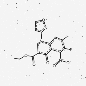 CCOC(=O)c1cn(-c2ccon2)c2cc(F)c(F)c([N+](=O)[O-])c2c1=O